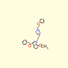 COc1cccc2c(C(=O)Cc3ccccc3)cn(CCCN3CCN(CCOc4ccccc4)CC3)c12